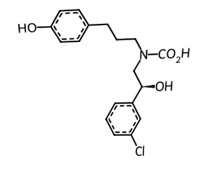 O=C(O)N(CCCc1ccc(O)cc1)C[C@@H](O)c1cccc(Cl)c1